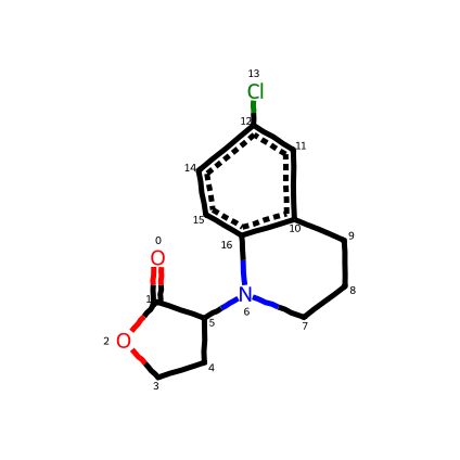 O=C1OCCC1N1CCCc2cc(Cl)ccc21